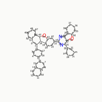 C1=C(c2ccc(-c3ccc4ccccc4c3)cc2)C2c3ccc(-c4nc(-c5ccccc5)c5oc6ccccc6c5n4)cc3OC2c2ccccc21